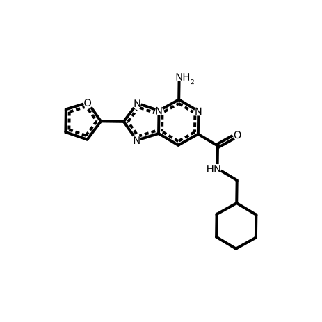 Nc1nc(C(=O)NCC2CCCCC2)cc2nc(-c3ccco3)nn12